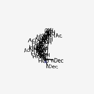 CCCCCCCCCCCCC/C=C/[C@@H](O)[C@H](CO[C@@H]1OC(CO)[C@@H](O[C@@H]2OC(CO)[C@H](O)[C@H](O[C@@H]3OC(CO)[C@@H](O[C@@H]4OC(CO)[C@H](O)[C@H](O[C@@H]5OC(CO)[C@@H](O[C@@H]6OC(CO)[C@H](O)[C@H](O[C@@H]7OC(CO)[C@@H](O)[C@H](O)C7NC(C)=O)C6O)[C@H](O)C5NC(C)=O)C4O)[C@H](O)C3NC(C)=O)C2O)[C@H](O)C1O)NC(=O)CCCCCCCCCCCCCCC